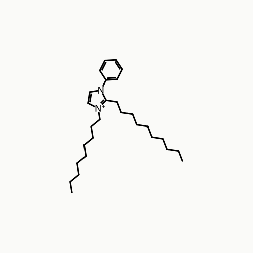 CCCCCCCCCCc1n(-c2ccccc2)cc[n+]1CCCCCCCCC